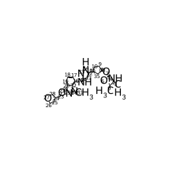 CCC(C)NC(=O)O[C@@H]1CC[C@H](c2cc(Nc3cccc4c(OCC5CCOC5)nn(C)c34)n[nH]2)C1